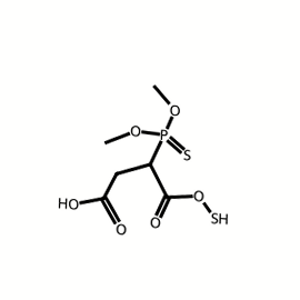 COP(=S)(OC)C(CC(=O)O)C(=O)OS